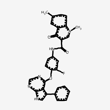 Cc1ccc2c(c1)c(=O)c(C(=O)Nc1ccc(Oc3ncnc4[nH]cc(-c5ccccc5)c34)c(F)c1)cn2C